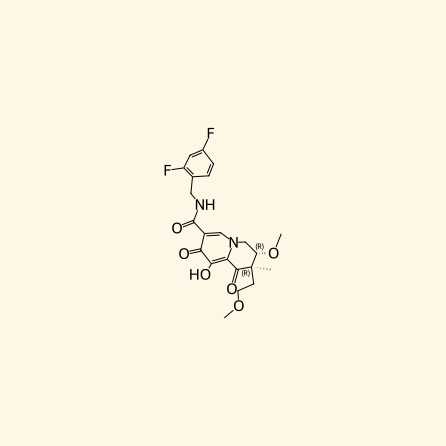 COCC[C@@]1(C)C(=O)c2c(O)c(=O)c(C(=O)NCc3ccc(F)cc3F)cn2C[C@@H]1OC